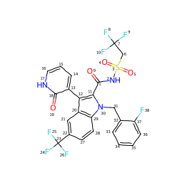 O=C(NS(=O)(=O)CC(F)(F)F)c1c(-c2ccc[nH]c2=O)c2cc(C(F)(F)F)ccc2n1Cc1ccccc1F